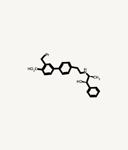 CC(C)Cc1cc(-c2ccc(CCN[C@@H](C)[C@H](O)c3ccccc3)cc2)ccc1C(=O)O